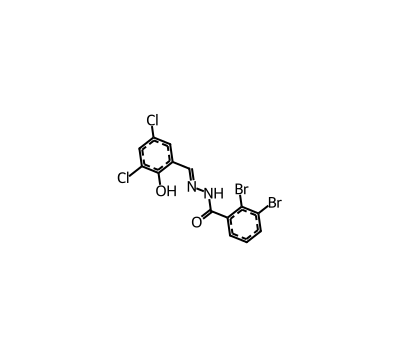 O=C(N/N=C/c1cc(Cl)cc(Cl)c1O)c1cccc(Br)c1Br